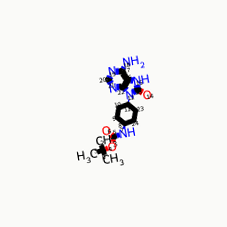 CC(C)(C)OC(=O)N[C@H]1CC[C@H](n2c(=O)[nH]c3c(N)ncnc32)CC1